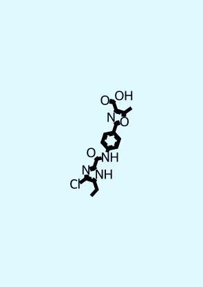 CCc1[nH]c(C(=O)Nc2ccc(-c3nc(C(=O)O)c(C)o3)cc2)nc1Cl